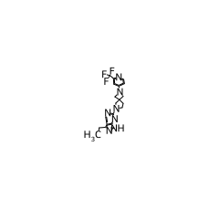 CCc1n[nH]c2nc(N3CCC4(CN(c5ccnc(C(F)(F)F)c5)C4)C3)ncc12